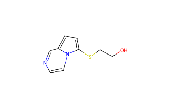 OCCSc1ccc2cnccn12